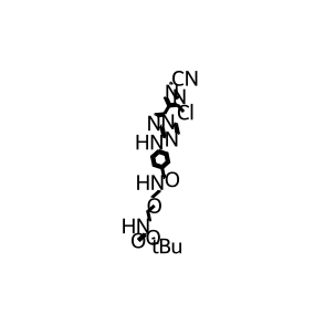 CC(C)(C)OC(=O)NCCOCCNC(=O)c1ccc(Nc2nccn3c(-c4cn(CC#N)nc4Cl)cnc23)cc1